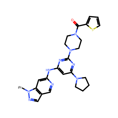 CC(C)n1ncc2cnc(Nc3cc(N4CCCC4)nc(N4CCN(C(=O)c5cccs5)CC4)n3)cc21